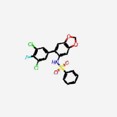 O=S(=O)(Nc1cc2c(cc1-c1cc(Cl)c(F)c(Cl)c1)OCO2)c1ccccc1